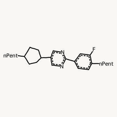 CCCCCc1ccc(-c2ncc(C3CCC(CCCCC)CC3)cn2)cc1F